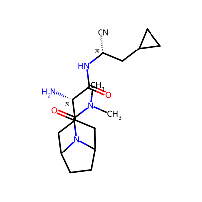 CN(C)C(=O)N1C2CCC1CC([C@H](N)C(=O)N[C@H](C#N)CC1CC1)C2